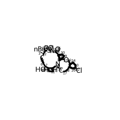 CCCC[C@@H]1[C@H](C)C/C=C\[C@@H](O)[C@@H]2CC[C@H]2CN2CCCCc3cc(Cl)ccc3COc3ccc(cc32)C(=O)NS1(=O)=O